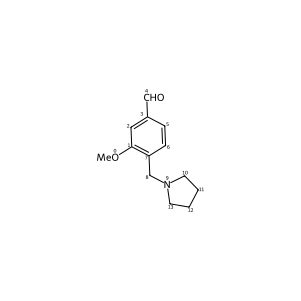 COc1cc(C=O)ccc1CN1CCCC1